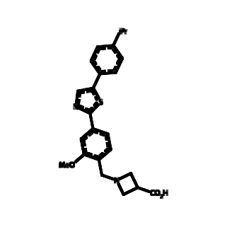 COc1cc(-c2ncc(-c3ccc(C(C)C)cc3)s2)ccc1CN1CC(C(=O)O)C1